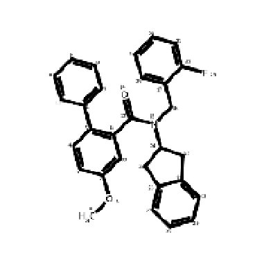 COc1ccc(-c2ccccc2)c(C(=O)N(Cc2ccccc2F)C2Cc3ccccc3C2)c1